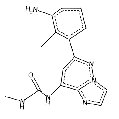 CNC(=O)Nc1cc(-c2cccc(N)c2C)nn2ccnc12